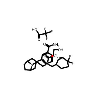 NC(=O)c1cccc(C2CC3CCC(C2)N3CCN(CC2CCC(F)(F)CC2)C(=O)[C@@H](O)CO)c1.O=C(O)C(F)(F)F